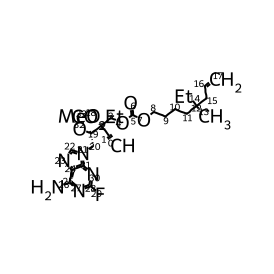 C#C[C@](COC(=O)OCCCCC(C)(CC)CC=C)(OC)[C@H](Cn1cnc2c(N)nc(F)nc21)OC(=O)OCC